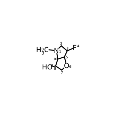 CN1CC(F)C2OCC(O)C21